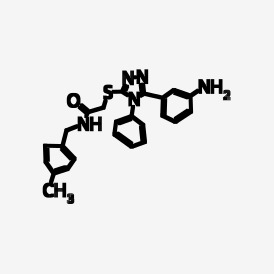 Cc1ccc(CNC(=O)CSc2nnc(-c3cccc(N)c3)n2-c2ccccc2)cc1